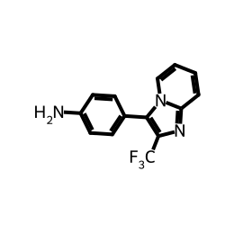 Nc1ccc(-c2c(C(F)(F)F)nc3ccccn23)cc1